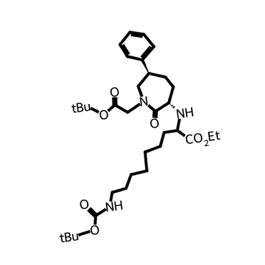 CCOC(=O)C(CCCCCCCNC(=O)OC(C)(C)C)N[C@H]1CC[C@H](c2ccccc2)CN(CC(=O)OC(C)(C)C)C1=O